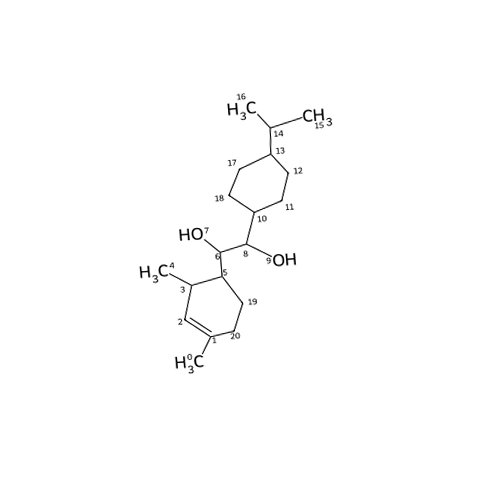 CC1=CC(C)C(C(O)C(O)C2CCC(C(C)C)CC2)CC1